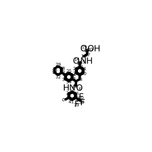 Cc1cc(NC(=O)C(Cc2ccc(C(=O)NCCC(=O)O)cc2)c2ccc(C3=CCCCC3)cc2)cc(C(F)(F)F)c1